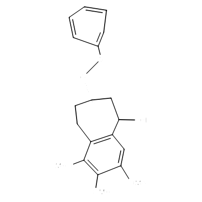 COc1cc2c(c(OC)c1OC)CC[C@H](OSc1ccccc1)CC2O